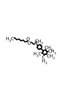 CCCCCCCC(=O)OCCN(C)c1ccc(-c2c(C)c(C)c(C)c(C)c2C)cc1